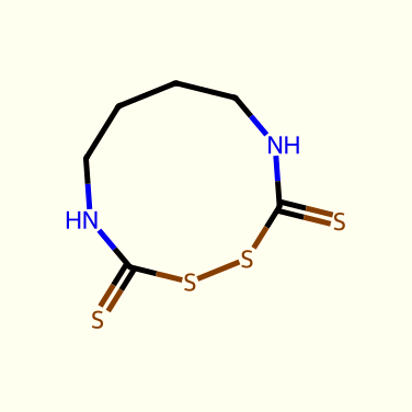 S=C1NCCCCNC(=S)SS1